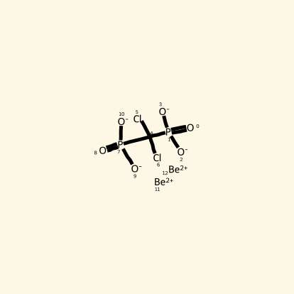 O=P([O-])([O-])C(Cl)(Cl)P(=O)([O-])[O-].[Be+2].[Be+2]